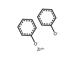 [O-]c1ccccc1.[O-]c1ccccc1.[Zr+4]